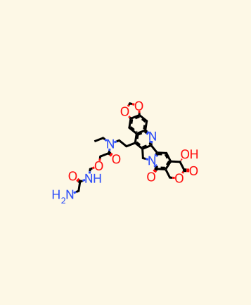 CCN(CCc1c2c(nc3cc4c(cc13)OCO4)-c1cc3c(c(=O)n1C2)COC(=O)[C@H]3O)C(=O)COCNC(=O)CN